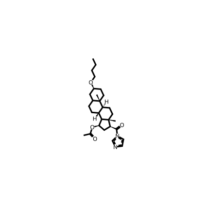 CCCCO[C@H]1CC[C@@]2(C)C(CC[C@H]3C4[C@H](OC(C)=O)C[C@H](C(=O)n5ccnc5)[C@@]4(C)CC[C@@H]32)C1